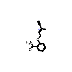 C#C/C(C)=C/COc1ccccc1C(N)=O